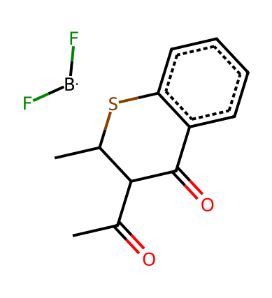 CC(=O)C1C(=O)c2ccccc2SC1C.F[B]F